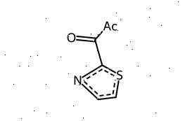 CC(=O)C(=O)c1nccs1